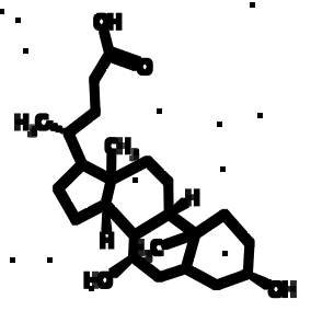 C[C@H](CCC(=O)O)C1CC[C@H]2C3[C@H](O)CC4C[C@H](O)CCC4(C)[C@H]3CCC12C